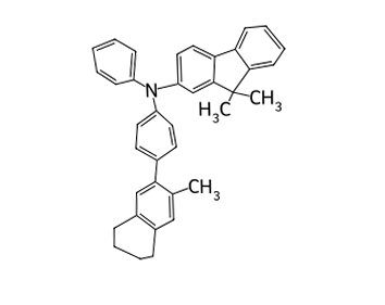 Cc1cc2c(cc1-c1ccc(N(c3ccccc3)c3ccc4c(c3)C(C)(C)c3ccccc3-4)cc1)CCCC2